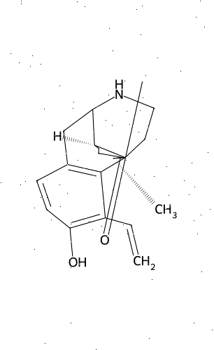 C=Cc1c(O)ccc2c1C13CCNC(C2)[C@@H]1CCC(=O)[C@@H]3C